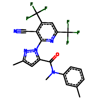 Cc1cccc(N(C)C(=O)c2cc(C)nn2-c2nc(C(F)(F)F)cc(C(F)(F)F)c2C#N)c1